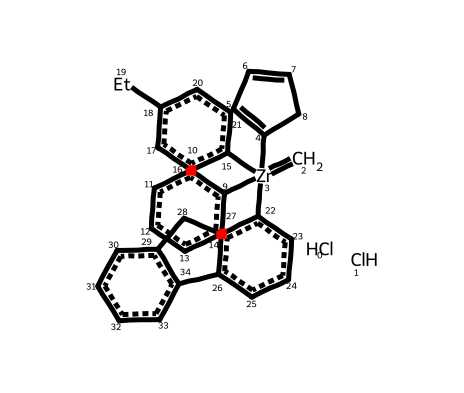 Cl.Cl.[CH2]=[Zr]([C]1=CC=CC1)([c]1ccccc1)([c]1ccc(CC)cc1)[c]1cccc2c1Cc1ccccc1-2